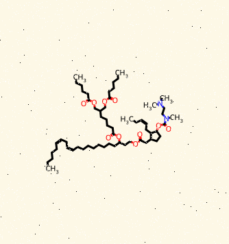 CC/C=C\CC1C(CC(=O)OCCC(CCCCCCCC/C=C\C/C=C\CCCCC)OC(=O)CCCCC(COC(=O)CCCCC)COC(=O)CCCCC)CCC1OC(=O)N(C)CCN(C)C